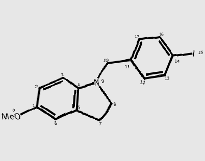 COc1ccc2c(c1)CCN2Cc1ccc(I)cc1